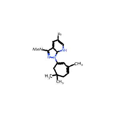 CNC1=NN(C2=CC(C)=CCC(C)(C)C2)C2NC=C(C(C)C)C=C12